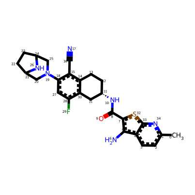 Cc1ccc2c(N)c(C(=O)N[C@H]3CCc4c(C#N)c(N5CC6CCC(C5)N6)cc(F)c4C3)sc2n1